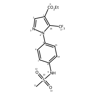 CCOC(=O)c1cnn(-c2ccc(NS(C)(=O)=O)cc2)c1C(F)(F)F